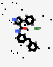 Cl.O=C(Nc1cccc(Cc2ccccc2)c1)[C@@H]1CNC[C@H]1c1ccccc1